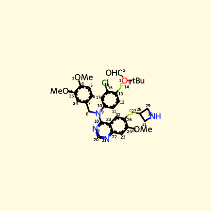 CC(C)(C)OC=O.COc1ccc(CN(c2ccc(F)c(Cl)c2)c2ncnc3cc(OC)c(SC4CNC4)cc23)cc1OC